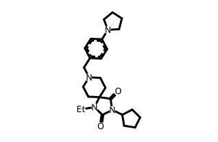 CCN1C(=O)N(C2CCCC2)C(=O)C12CCN(Cc1ccc(N3CCCC3)cc1)CC2